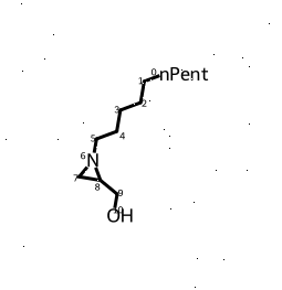 CCCCCCCCCCN1CC1CO